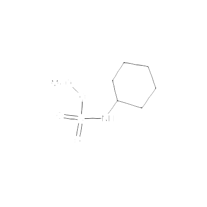 COOS(=O)(=O)NC1CCCCC1